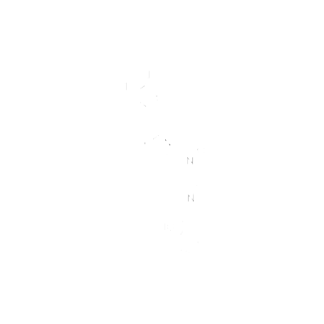 O=C(/C=C/c1ccc(Cl)c(Cl)c1)N1CCC(=O)N(CCCN2CCC(O)(c3ccccc3)CC2)CC1